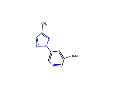 COc1cncc(-n2ncc(C)n2)c1